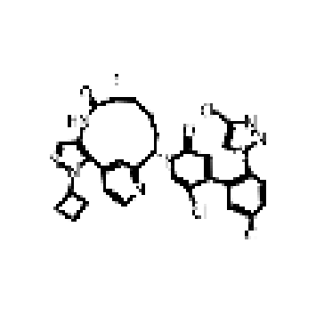 C[C@@H]1CCC[C@H](n2cc(Cl)c(-c3cc(Cl)ccc3-n3cc(Cl)nn3)cc2=O)c2cc(ccn2)-c2c(cnn2C2CCC2)NC1=O